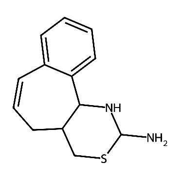 NC1NC2c3ccccc3C=CCC2CS1